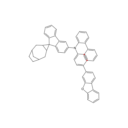 c1ccc(-c2ccccc2N(c2ccc(-c3ccc4c(c3)oc3ccccc34)cc2)c2ccc3c(c2)-c2ccccc2C32C3CC4CCC(C4)CC32)cc1